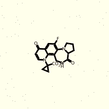 O=C1NCc2c(c(F)cc3c(=O)ccn(C4(C(=O)O)CC4)c23)N2CCCC12